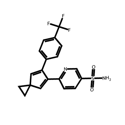 NS(=O)(=O)c1ccc(C2=CC3(C=C2c2ccc(C(F)(F)F)cc2)CC3)nc1